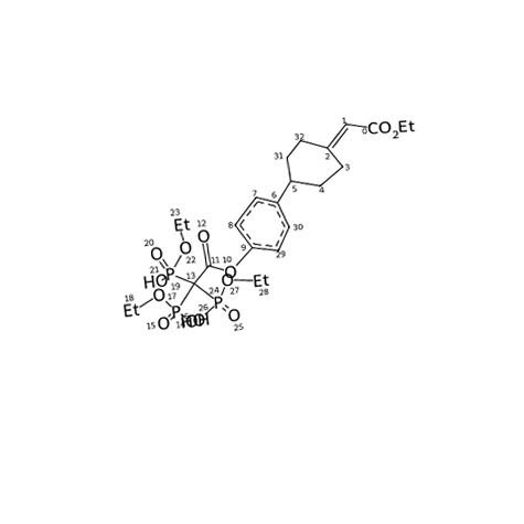 CCOC(=O)C=C1CCC(c2ccc(OC(=O)C(P(=O)(O)OCC)(P(=O)(O)OCC)P(=O)(O)OCC)cc2)CC1